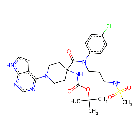 CC(C)(C)OC(=O)NC1(C(=O)N(CCCNS(C)(=O)=O)c2ccc(Cl)cc2)CCN(c2ncnc3[nH]ccc23)CC1